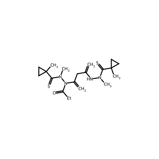 C=C(CC(=C)N(C(=O)CC)N(C)C(=S)C1(C)CC1)NN(C)C(=S)C1(C)CC1